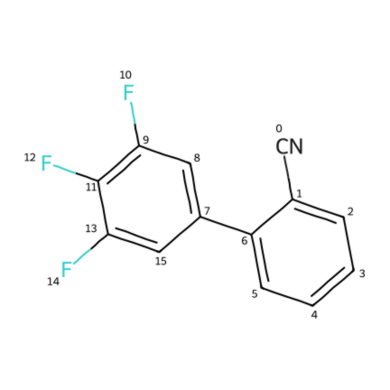 N#Cc1ccccc1-c1cc(F)c(F)c(F)c1